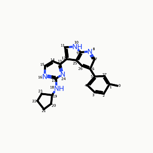 Cc1cccc(-c2cnc3[nH]cc(-c4ccnc(NC5CCCC5)n4)c3c2)c1